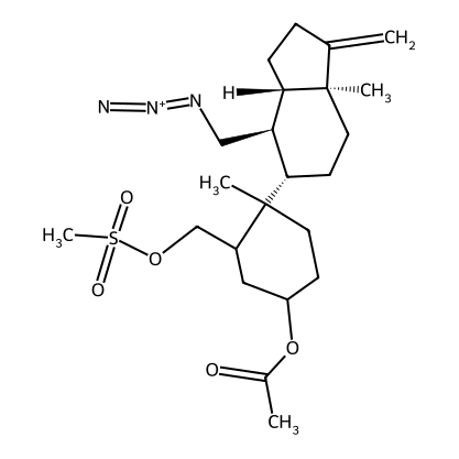 C=C1CC[C@H]2[C@H](CN=[N+]=[N-])[C@@H](C3(C)CCC(OC(C)=O)CC3COS(C)(=O)=O)CC[C@]12C